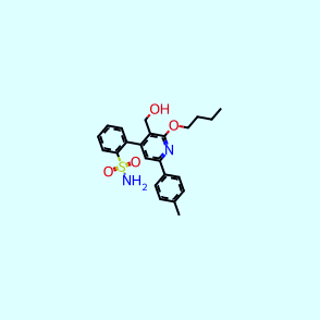 CCCCOc1nc(-c2ccc(C)cc2)cc(-c2ccccc2S(N)(=O)=O)c1CO